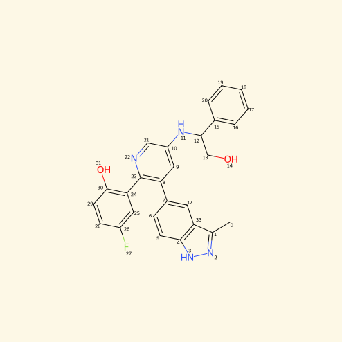 Cc1n[nH]c2ccc(-c3cc(NC(CO)c4ccccc4)cnc3-c3cc(F)ccc3O)cc12